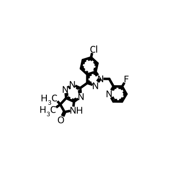 CC1(C)C(=O)Nc2nc(-c3nn(Cc4ncccc4F)c4cc(Cl)ccc34)nnc21